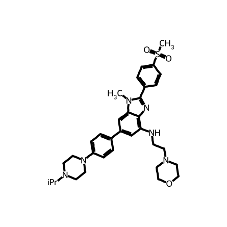 CC(C)N1CCN(c2ccc(-c3cc(NCCN4CCOCC4)c4nc(-c5ccc(S(C)(=O)=O)cc5)n(C)c4c3)cc2)CC1